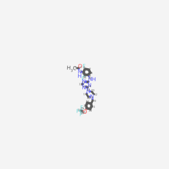 CC(=O)Nc1c(F)ccc(Nc2ncnc(N3CCN(Cc4ccc(OC(F)(F)F)cc4)CC3)n2)c1F